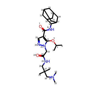 CC(C)Oc1c(C(=O)NC2C3CC4CC(C3)CC2C4)cnn1CC(=O)NCC(C)(C)CN(C)C